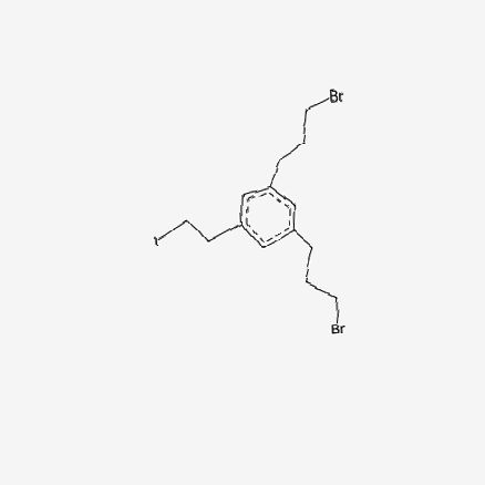 BrCCCc1cc(CCI)cc(CCCBr)c1